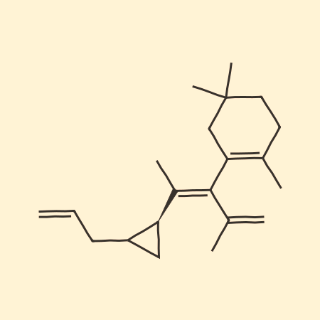 C=CCC1C[C@@H]1/C(C)=C(\C(=C)C)C1=C(C)CCC(C)(C)C1